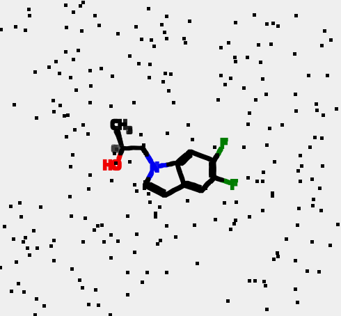 C[C@H](O)Cn1ccc2cc(F)c(F)cc21